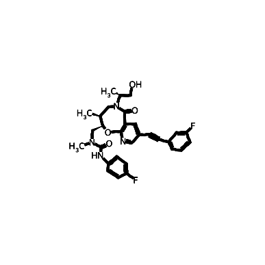 C[C@H](CO)N1C[C@H](C)[C@H](CN(C)C(=O)Nc2ccc(F)cc2)Oc2ncc(C#Cc3cccc(F)c3)cc2C1=O